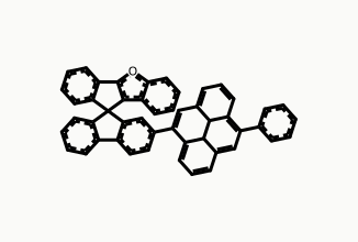 C1=CC2=CC(c3ccccc3)=C3C=CC=C4C=C(c5ccc6c(c5)C5(c7ccccc7-6)c6ccccc6-c6oc7ccccc7c65)C(=C1)C2C43